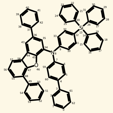 c1ccc(-c2ccc(N(c3ccc([Si](c4ccccc4)(c4ccccc4)c4ccccc4)cc3)c3cc(-c4ccccc4)cc4c3oc3c(-c5ccccc5)cccc34)cc2)cc1